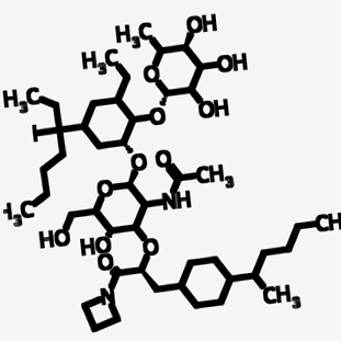 CCCCC(C)C1CCC(C[C@H](OC2C(NC(C)=O)[C@H](O[C@@H]3CC(C(I)(CC)CCCC)CC(CC)C3O[C@@H]3OC(C)[C@@H](O)C(O)C3O)OC(CO)[C@@H]2O)C(=O)N2CCC2)CC1